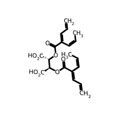 C=C/C=C(\C=C/C)C(=O)O[C@@H](C(=O)O)[C@@H](OC(=O)C(/C=C\C)=C/C=C)C(=O)O